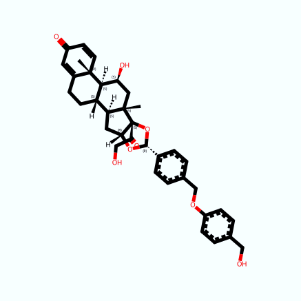 C[C@]12C=CC(=O)C=C1CC[C@@H]1[C@@H]2[C@@H](O)C[C@@]2(C)[C@H]1C[C@H]1O[C@@H](c3ccc(COc4ccc(CO)cc4)cc3)O[C@]12C(=O)CO